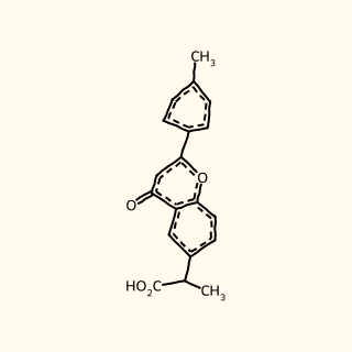 Cc1ccc(-c2cc(=O)c3cc(C(C)C(=O)O)ccc3o2)cc1